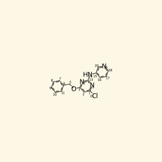 Clc1cc(OCc2ccccc2)nc(Nc2cccnc2)n1